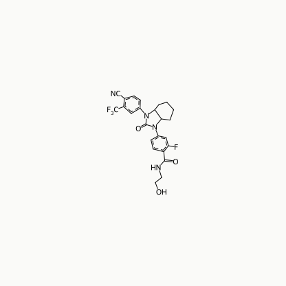 N#Cc1ccc(N2C(=O)N(c3ccc(C(=O)NCCO)c(F)c3)C3CCCCC32)cc1C(F)(F)F